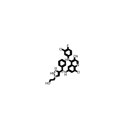 N#Cc1cnc2c(Cl)cc(N[C@H](C3=CN(CCO)NN3)c3ccccc3)cc2c1Nc1ccc(F)c(Cl)c1